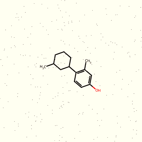 Cc1cc(O)ccc1C1CCCC(C)C1